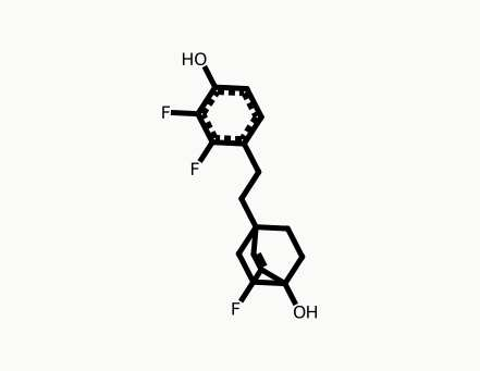 Oc1ccc(CCC23C=C(F)C(O)(CC2)CC3)c(F)c1F